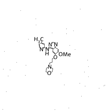 COc1cc2ncnc(Nc3cc(C)ccn3)c2cc1OCCCN1CCOCC1